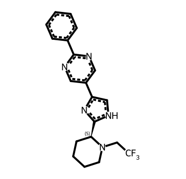 FC(F)(F)CN1CCCC[C@H]1c1nc(-c2cnc(-c3ccccc3)nc2)c[nH]1